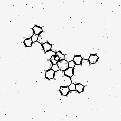 c1ccc(-c2ccc3c(c2)c2cc(-n4c5ccccc5c5ccccc54)cc(-n4c5ccccc5c5ccccc54)c2n3-c2ccc(-c3ccc(-n4c5ccccc5c5ccccc54)cc3)cc2)cc1